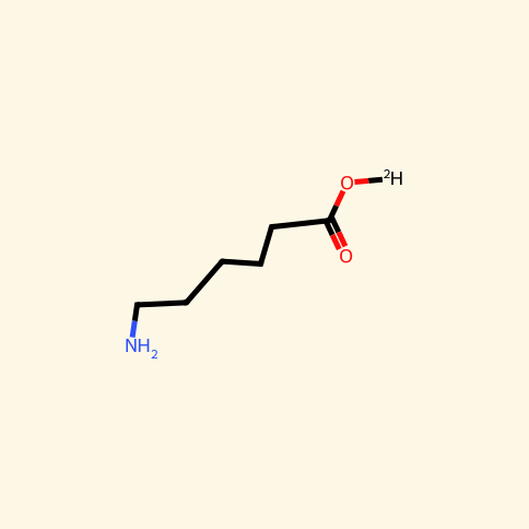 [2H]OC(=O)CCCCCN